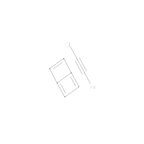 ClC#CBr.c1cc2ccc1-2